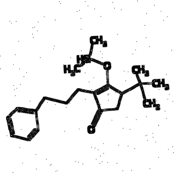 C[SiH](C)OC1=C(CCCc2ccccc2)C(=O)CC1C(C)(C)C